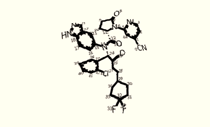 N#Cc1ccnc(N2C(=O)CC[C@H]2C(=O)N(c2ccc3[nH]ncc3c2)[C@H](C(=O)CCC2CCC(F)(F)CC2)c2ccccc2Cl)c1